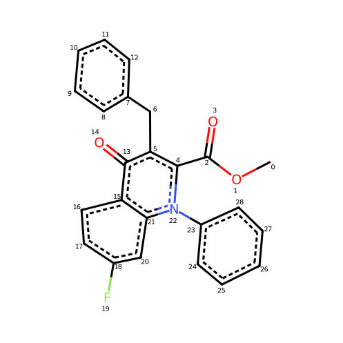 COC(=O)c1c(Cc2ccccc2)c(=O)c2ccc(F)cc2n1-c1ccccc1